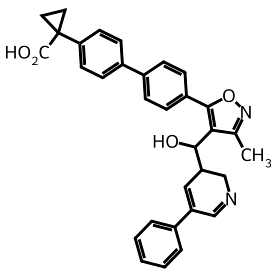 Cc1noc(-c2ccc(-c3ccc(C4(C(=O)O)CC4)cc3)cc2)c1C(O)C1C=C(c2ccccc2)C=NC1